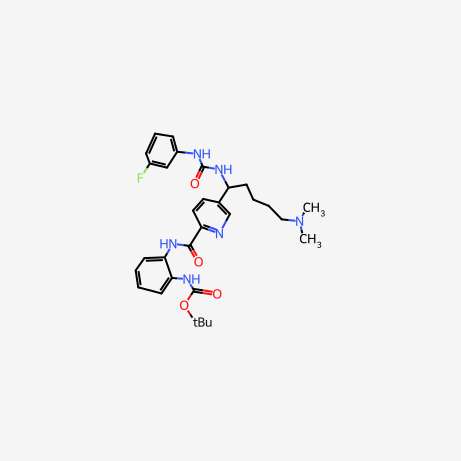 CN(C)CCCCC(NC(=O)Nc1cccc(F)c1)c1ccc(C(=O)Nc2ccccc2NC(=O)OC(C)(C)C)nc1